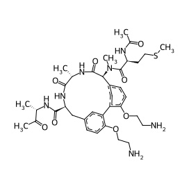 CSCC[C@H](NC(C)=O)C(=O)N(C)[C@@H]1C(=O)N[C@@H](C)C(=O)N[C@H](C(=O)N[C@@H](C)C(C)=O)Cc2ccc(OCCN)c(c2)-c2cc1ccc2OCCN